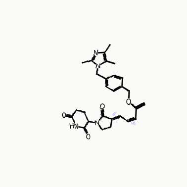 C=C(/C=C\C=C1/CCN(C2CCC(=O)NC2=O)C1=O)OCc1ccc(Cn2c(C)nc(C)c2C)cc1